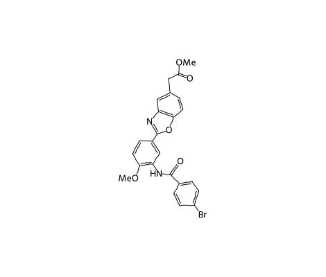 COC(=O)Cc1ccc2oc(-c3ccc(OC)c(NC(=O)c4ccc(Br)cc4)c3)nc2c1